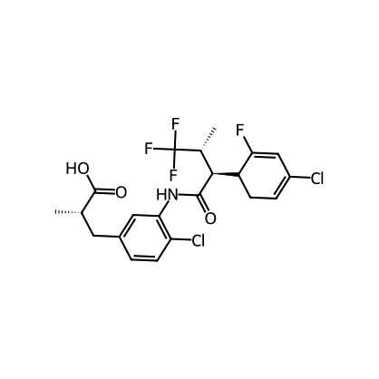 C[C@H]([C@H](C(=O)Nc1cc(C[C@H](C)C(=O)O)ccc1Cl)C1CC=C(Cl)C=C1F)C(F)(F)F